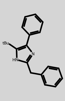 CC(C)(C)c1[nH]c(Cc2ccccc2)nc1-c1ccccc1